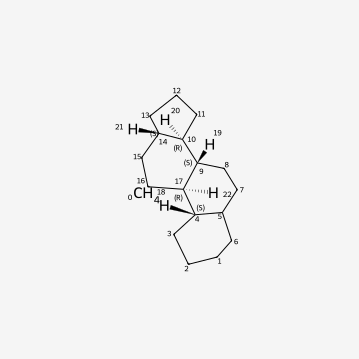 C.C1CC[C@H]2C(C1)CC[C@H]1[C@@H]3CCC[C@H]3CC[C@@H]12